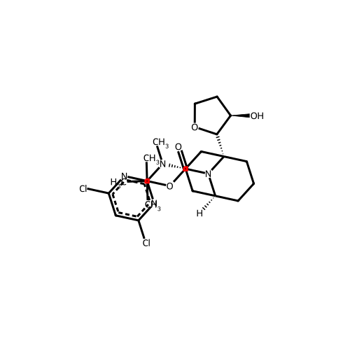 CN(c1nc(Cl)cc(Cl)n1)[C@H]1C[C@@H]2CCC[C@](C3OCC[C@H]3O)(C1)N2C(=O)OC(C)(C)C